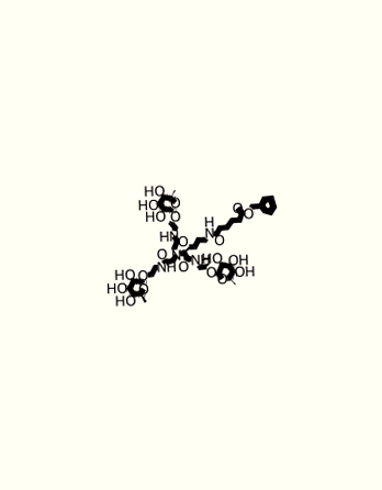 C[C@@H]1O[C@@H](OCCNC(=O)CN(CC(=O)NCCO[C@@H]2O[C@@H](C)[C@@H](O)[C@@H](O)[C@@H]2O)[C@@H](CCCCNC(=O)CCCCC(=O)OCc2ccccc2)C(=O)NCCO[C@@H]2O[C@@H](C)[C@@H](O)[C@@H](O)[C@@H]2O)[C@@H](O)[C@H](O)[C@@H]1O